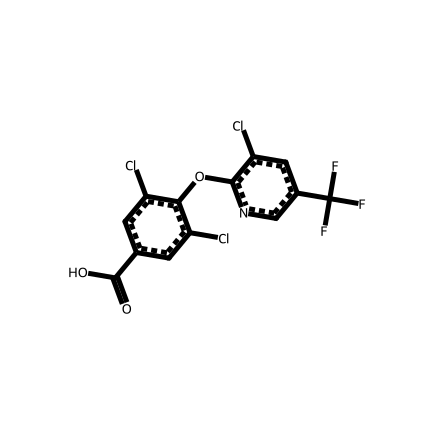 O=C(O)c1cc(Cl)c(Oc2ncc(C(F)(F)F)cc2Cl)c(Cl)c1